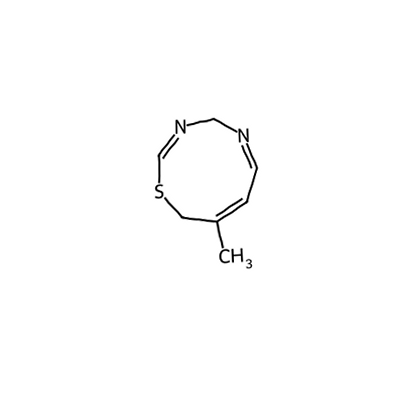 C/C1=C/C=N\C/N=C\SC1